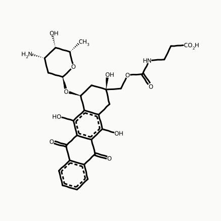 C[C@@H]1O[C@@H](O[C@H]2C[C@](O)(COC(=O)NCCC(=O)O)Cc3c(O)c4c(c(O)c32)C(=O)c2ccccc2C4=O)C[C@H](N)[C@@H]1O